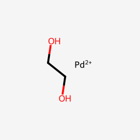 OCCO.[Pd+2]